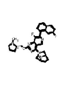 CN1CCC[C@H]1COc1nc(N2CC3CCC(C2)N3)c2cnc(-c3cccc4ccc(F)cc34)c(F)c2n1